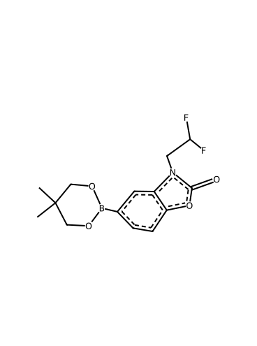 CC1(C)COB(c2ccc3oc(=O)n(CC(F)F)c3c2)OC1